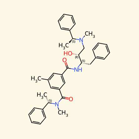 Cc1cc(C(=O)N[C@@H](Cc2ccccc2)[C@H](O)CN(C)[C@@H](C)c2ccccc2)cc(C(=O)N(C)[C@@H](C)c2ccccc2)c1